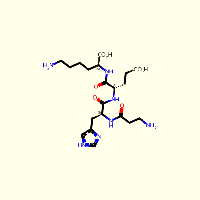 NCCCC[C@H](NC(=O)[C@H](CCC(=O)O)NC(=O)[C@H](Cc1c[nH]cn1)NC(=O)CCN)C(=O)O